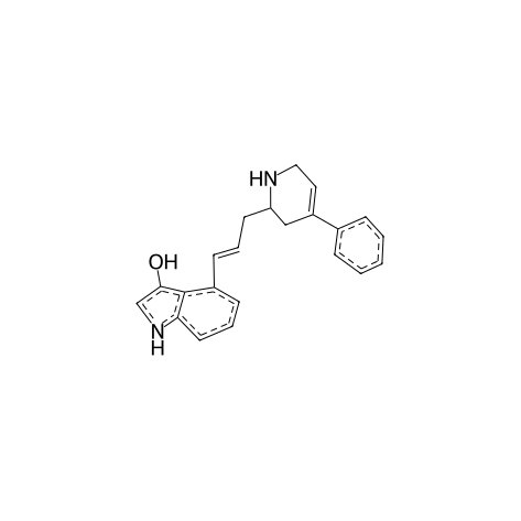 Oc1c[nH]c2cccc(C=CCC3CC(c4ccccc4)=CCN3)c12